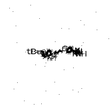 CCCc1c(OC/C=C/COc2ccc(-c3nn[nH]n3)cc2)ccc2c1ccn2CC(C)(C)C